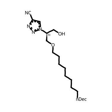 CCCCCCCCCCCCCCCCCCOC[C@H](CO)n1cc(C#N)nn1